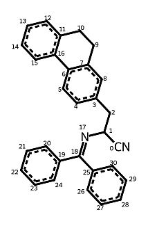 N#CC(Cc1ccc2c(c1)CCc1ccccc1-2)N=C(c1ccccc1)c1ccccc1